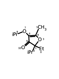 CCC1(C(C)C)OC(C)=C(OC(C)C)C1=O